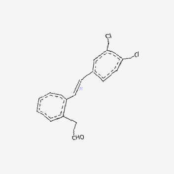 O=CCc1ccccc1/C=C/c1ccc(Cl)c(Cl)c1